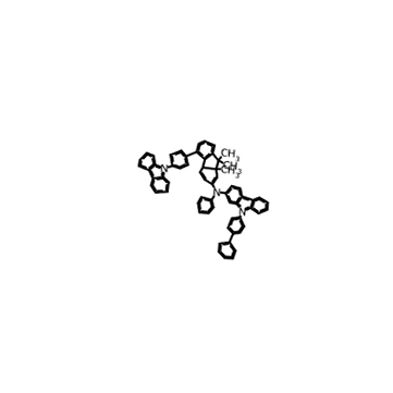 CC1(C)c2cccc(-c3ccc(-n4c5ccccc5c5ccccc54)cc3)c2C2C=CC(N(c3ccccc3)c3ccc4c5ccccc5n(-c5ccc(-c6ccccc6)cc5)c4c3)=CC21C